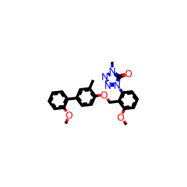 COc1ccccc1-c1ccc(OCc2c(OC)cccc2-n2nnn(C)c2=O)c(C)c1